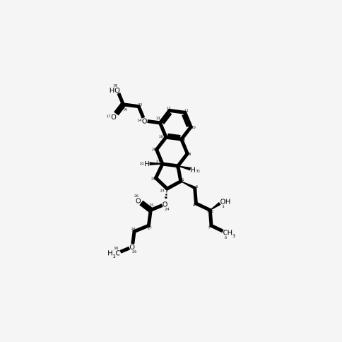 CC[C@H](O)CC[C@@H]1[C@H]2Cc3cccc(OCC(=O)O)c3C[C@H]2C[C@H]1OC(=O)CCOC